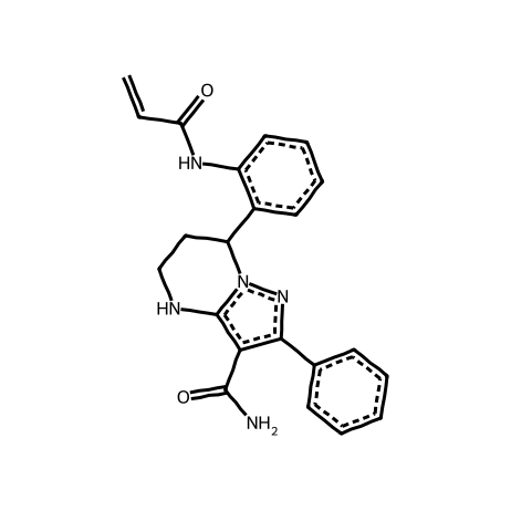 C=CC(=O)Nc1ccccc1C1CCNc2c(C(N)=O)c(-c3ccccc3)nn21